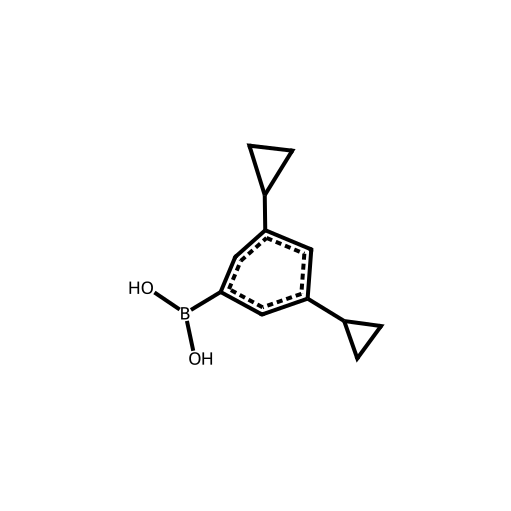 OB(O)c1cc(C2CC2)cc(C2CC2)c1